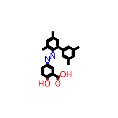 Cc1cc(C)cc(-c2cc(C)cc(C)c2N=Nc2ccc(O)c(C(=O)O)c2)c1